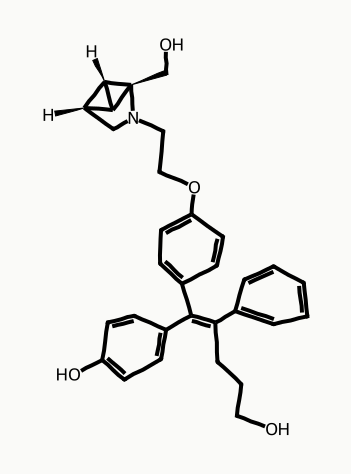 OCCC/C(=C(\c1ccc(O)cc1)c1ccc(OCCN2C[C@H]3C4[C@H]3[C@@]42CO)cc1)c1ccccc1